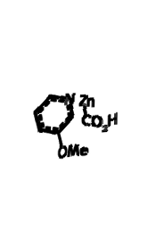 COc1cccnc1.O=[C](O)[Zn]